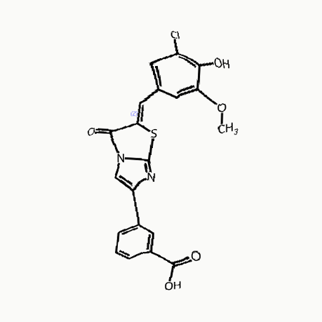 COc1cc(/C=c2\sc3nc(-c4cccc(C(=O)O)c4)cn3c2=O)cc(Cl)c1O